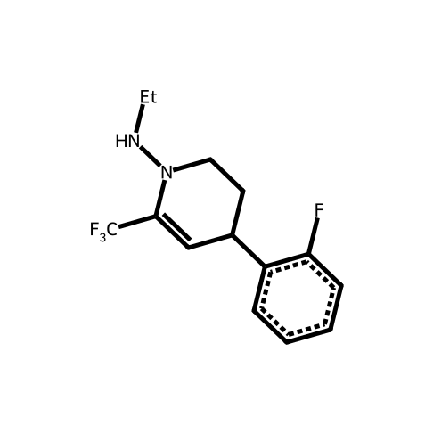 CCNN1CCC(c2ccccc2F)C=C1C(F)(F)F